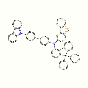 c1ccc(C2(c3ccccc3)c3ccccc3-c3c(N(c4ccc(-c5ccc(-n6c7ccccc7c7ccccc76)cc5)cc4)c4ccc5sc6ccccc6c5c4)cccc32)cc1